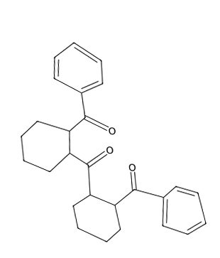 O=C(c1ccccc1)C1CCCCC1C(=O)C1CCCCC1C(=O)c1ccccc1